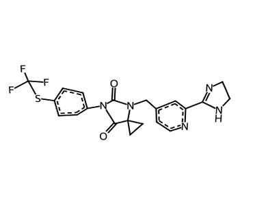 O=C1N(c2ccc(SC(F)(F)F)cc2)C(=O)C2(CC2)N1Cc1ccnc(C2=NCCN2)c1